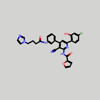 N#Cc1c(-c2cccc(NC(=O)CCCn3ccnc3)c2)cc(-c2ccc(Cl)cc2O)nc1NC(=O)c1ccco1